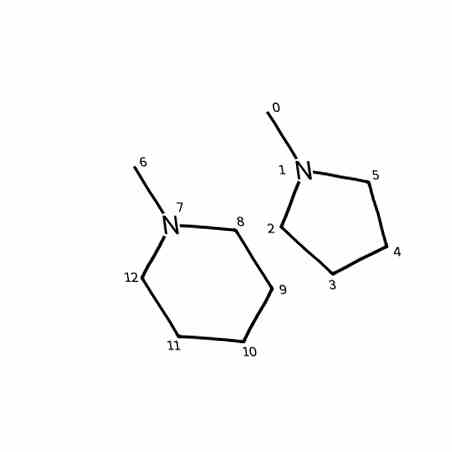 CN1CCCC1.CN1CCCCC1